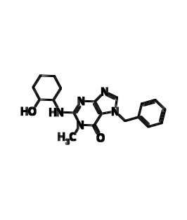 Cn1c(NC2CCCCC2O)nc2ncn(Cc3ccccc3)c2c1=O